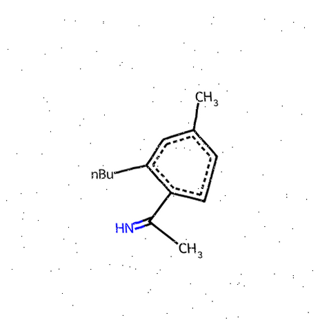 CCCCc1cc(C)ccc1C(C)=N